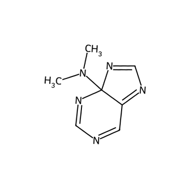 CN(C)C12N=CN=CC1=NC=N2